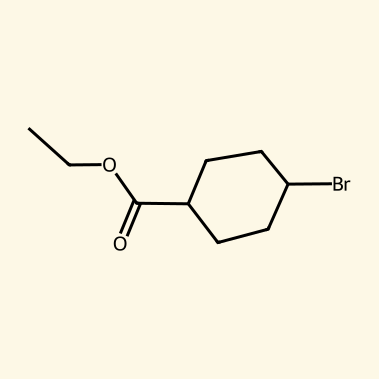 CCOC(=O)C1CCC(Br)CC1